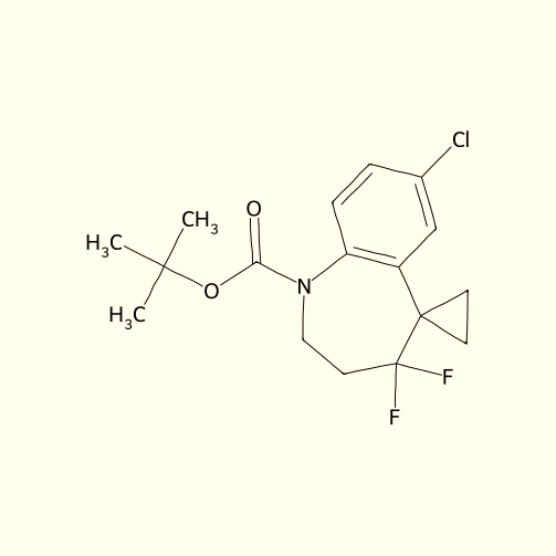 CC(C)(C)OC(=O)N1CCC(F)(F)C2(CC2)c2cc(Cl)ccc21